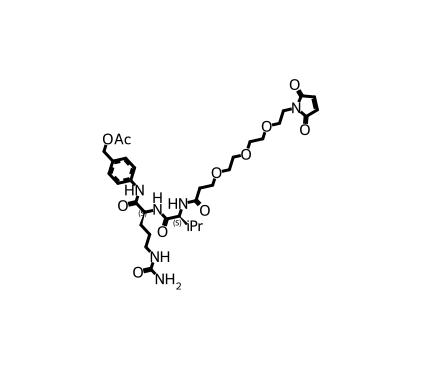 CC(=O)OCc1ccc(NC(=O)[C@H](CCCNC(N)=O)NC(=O)[C@@H](NC(=O)CCOCCOCCOCCN2C(=O)C=CC2=O)C(C)C)cc1